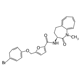 CN1C(=O)[C@@H](NC(=O)c2ccc(COC3=CC=C(Br)CC=C3)o2)CCC2=C=CC=CC=C21